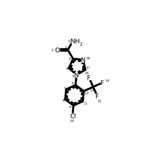 NC(=O)c1cn(-c2ccc(Cl)cc2C(F)(F)F)cn1